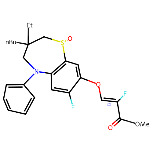 CCCCC1(CC)CN(c2ccccc2)c2cc(F)c(O/C=C(\F)C(=O)OC)cc2[S+]([O-])C1